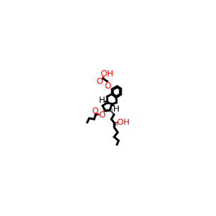 CCCCC[C@H](O)CC[C@@H]1[C@H]2Cc3cccc(OCC(=O)O)c3C[C@H]2C[C@H]1OC(=O)CCC